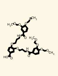 COCOc1ccc(C(=O)NCCCOc2ccc(C(=O)O)cc2OCCCNC(=O)c2ccc(OCOC)c(OCOC)c2)cc1OCOC